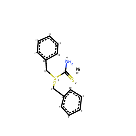 NC(=S)[SH](Cc1ccccc1)Cc1ccccc1.[Ni]